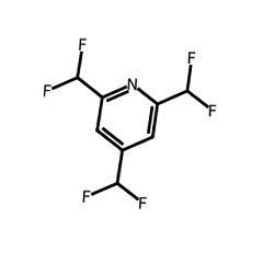 FC(F)c1cc(C(F)F)nc(C(F)F)c1